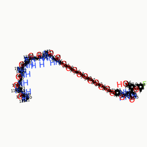 Cc1cc(F)cc(C)c1Oc1ccc(C(C)(C)O)cc1-c1cn(C)c(=O)c2[nH]c(C(=O)Nc3ccc(OCCOCCOCCOCCOCCOCCOCCOCCOCCOCCNC(=O)CCNC(=O)c4nc(NC(=O)CCNC(=O)c5cc(NC(=O)c6nc(NC(=O)CCNC(=O)c7cc(NC(=O)c8nccn8C)cn7C)cn6C)cn5C)cn4C)cc3)cc12